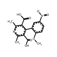 COc1ccc([N+](=O)[O-])cc1-c1c(C(=O)O)c(C)nc(C)c1C(=O)O